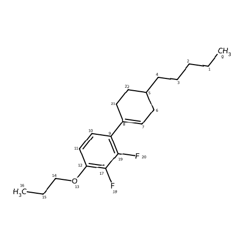 CCCCCC1CC=C(c2ccc(OCCC)c(F)c2F)CC1